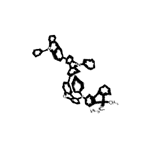 CC1(C)c2ccccc2-c2cc(N(c3ccccc3)c3cccc4oc5ccc(-c6ccc7c(c6)c6cc(-c8ccc9c(c8)c8ccccc8n9-c8ccccc8)ccc6n7-c6ccccc6)cc5c34)ccc21